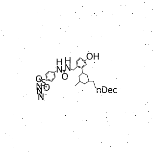 CCCCCCCCCCCCC1CC(C)CC(c2cc(O)ccc2CNC(=O)Nc2ccc(S(=O)(=O)N=[N+]=[N-])cc2)C1